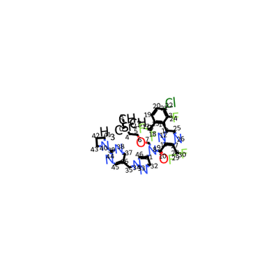 C[Si](C)(C)CCOCN(C(=O)c1nc(-c2c(C(F)F)ccc(Cl)c2F)cnc1C(F)F)c1cnn(Cc2cnc(N3CCC3)nc2)c1